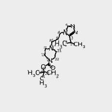 CC(C)c1cncn1CCCN1CCN(C(=O)OC(C)(C)C)CC1